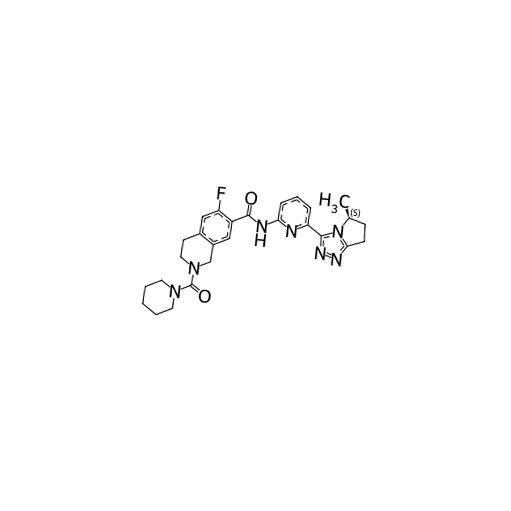 C[C@H]1CCc2nnc(-c3cccc(NC(=O)c4cc5c(cc4F)CCN(C(=O)N4CCCCC4)C5)n3)n21